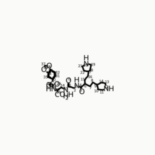 O=C(CNC(=O)C(CCC1CCNCC1)CCC1CCNCC1)NCC(NS(=O)(=O)c1ccc2c(c1)OCO2)C(=O)O